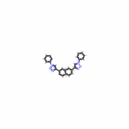 c1ccc(-n2cc(-c3ccc4ccc(-c5cn(-c6ccccc6)nn5)cc4c3)nn2)cc1